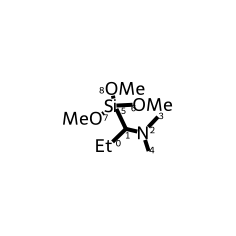 CCC(N(C)C)[Si](OC)(OC)OC